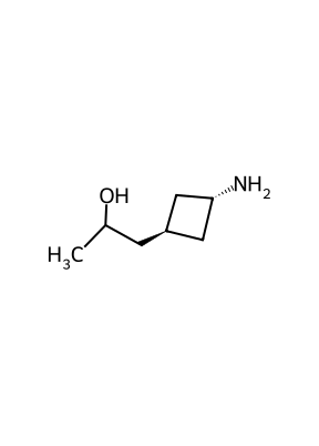 CC(O)C[C@H]1C[C@H](N)C1